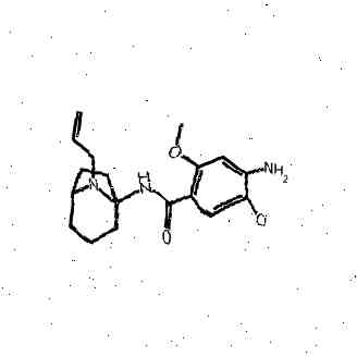 C=CCN1C2CCCC1(NC(=O)c1cc(Cl)c(N)cc1OC)CC2